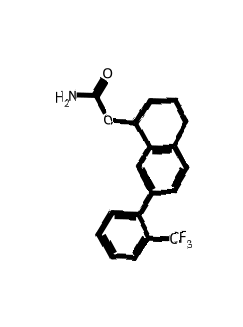 NC(=O)OC1CCCc2ccc(-c3ccccc3C(F)(F)F)cc21